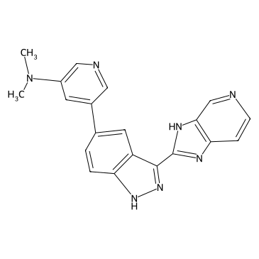 CN(C)c1cncc(-c2ccc3[nH]nc(-c4nc5ccncc5[nH]4)c3c2)c1